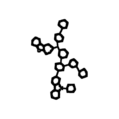 c1ccc(-c2ccc(C(c3cccc(-c4ccc(-c5ccc6c7ccccc7n(-c7ccccc7)c6c5)cc4-c4cccc(-c5ccccc5)c4)c3)c3ccc4oc5ccccc5c4c3)cc2)cc1